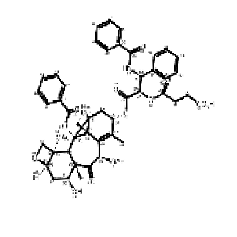 CC(=O)O[C@H]1C(=O)[C@@]2(C)C([C@@]3(OC(=O)c4ccccc4)[C@]4(O)C[C@H](OC(=O)[C@H](OC(=O)CCC(=O)O)[C@@H](NC(=O)c5ccccc5)c5ccccc5)C(C)=C1[C@@]43C)[C@]1(OC(C)=O)CO[C@@H]1C[C@@H]2O